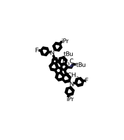 C=CC1=C(/C=C(\C)C(C)(C)C)c2cc(C(C)(C)C)ccc2C12c1c(ccc3cc(N(c4ccc(F)cc4)c4ccc(C(C)C)cc4)ccc13)-c1ccc3cc(N(c4ccc(F)cc4)c4ccc(C(C)C)cc4)ccc3c12